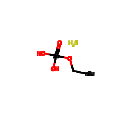 CCCCC[O][Sb](=[O])([OH])[OH].S